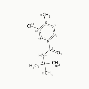 Cc1ccc(C(=O)NC(C)(C)C)cc1Cl